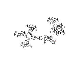 CC(C)(C)OC(=O)CC[C@H](NC(=O)N[C@@H](CCCCNC(=O)[C@@H](Cc1ccc2c(c1)CCCO2)NC(=O)C1CCC(CNC(=O)CN2CCN(CC(=O)OC(C)(C)C)CCN(CC(=O)OC(C)(C)C)CCN(CC(=O)OC(C)(C)C)CC2)CC1)C(=O)OC(C)(C)C)C(=O)OC(C)(C)C